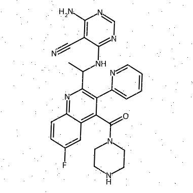 CC(Nc1ncnc(N)c1C#N)c1nc2ccc(F)cc2c(C(=O)N2CCNCC2)c1-c1ccccn1